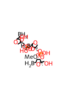 BC1O[C@]2(COP(=O)(O)OC3C4OC[C@@]3(COP(=O)(O)OC3C(OC)C(B)O[C@]3(C)CO)OC4B)COC1C2O